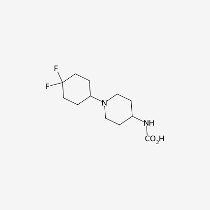 O=C(O)NC1CCN(C2CCC(F)(F)CC2)CC1